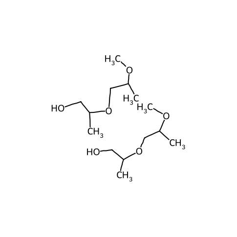 COC(C)COC(C)CO.COC(C)COC(C)CO